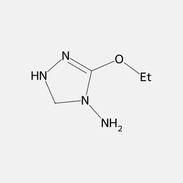 CCOC1=NNCN1N